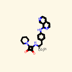 CCOC(=O)[C@H](Cc1ccc(Nc2nccc3ccncc23)cc1)Nc1c(N2CCCCC2)c(=O)c1=O